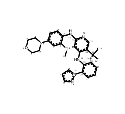 COc1cc(N2CCOCC2)ccc1Nc1cc(Nc2ccccc2-n2cccn2)c(C(F)(F)F)cn1